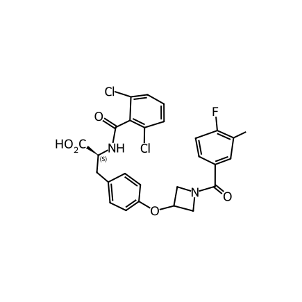 Cc1cc(C(=O)N2CC(Oc3ccc(C[C@H](NC(=O)c4c(Cl)cccc4Cl)C(=O)O)cc3)C2)ccc1F